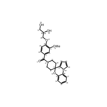 COc1cc(C(=O)N2CCC3(CC2)Oc2ccccc2-n2cccc23)ccc1OC[C@H](O)CO